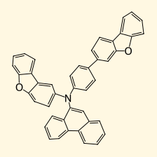 c1ccc2c(c1)cc(N(c1ccc(-c3ccc4c(c3)oc3ccccc34)cc1)c1ccc3oc4ccccc4c3c1)c1ccccc12